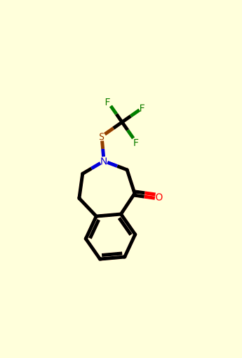 O=C1CN(SC(F)(F)F)CCc2ccccc21